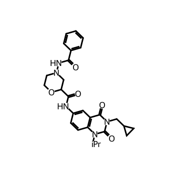 CC(C)n1c(=O)n(CC2CC2)c(=O)c2cc(NC(=O)C3CN(NC(=O)c4ccccc4)CCO3)ccc21